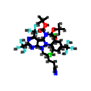 CC(C)(C)OC(=O)N(C(=O)OC(C)(C)C)C1=C2C(C(F)(F)F)=NC(C(F)(F)F)=NC2N(CCCCC#N)N1c1c(Cl)cc(C(F)(F)F)cc1Cl